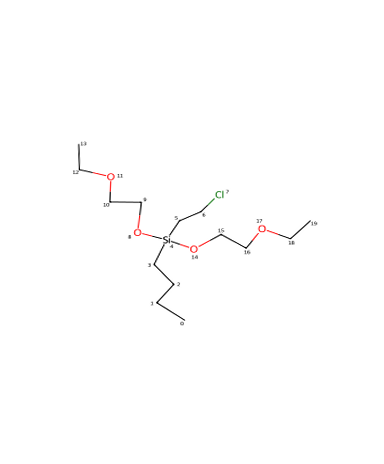 CCCC[Si](CCCl)(OCCOCC)OCCOCC